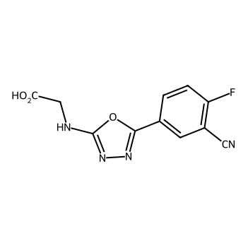 N#Cc1cc(-c2nnc(NCC(=O)O)o2)ccc1F